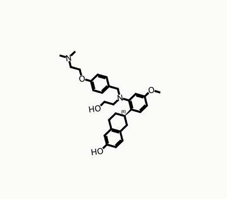 COc1ccc([C@@H]2CCc3cc(O)ccc3C2)c(N(CCO)Cc2ccc(OCCN(C)C)cc2)c1